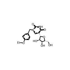 CCOc1ccc(Cn2cc([C@@H]3O[C@H](CO)[C@@H](O)[C@H]3O)c(=O)[nH]c2=O)cc1